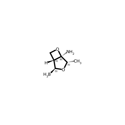 B[C@@H]1O[C@@H](C)[C@]2(N)OC[C@@H]12